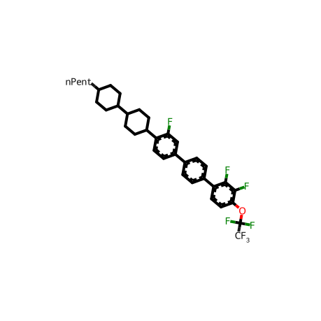 CCCCCC1CCC(C2CCC(c3ccc(-c4ccc(-c5ccc(OC(F)(F)C(F)(F)F)c(F)c5F)cc4)cc3F)CC2)CC1